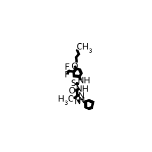 CCCCCOc1ccc(NC(=S)NC(=O)c2nn(-c3ccccc3)nc2C)cc1C(F)F